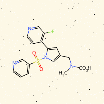 CN(Cc1cc(-c2ccncc2F)n(S(=O)(=O)c2cccnc2)c1)C(=O)O